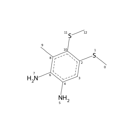 CSc1cc(N)c(N)c(C)c1SC